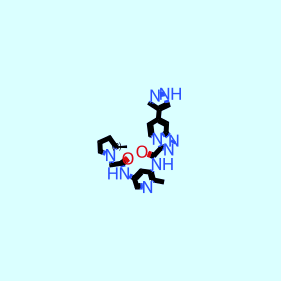 Cc1ncc(NC(=O)CN2CCC[C@H]2C)cc1NC(=O)c1nnc2cc(-c3cn[nH]c3)ccn12